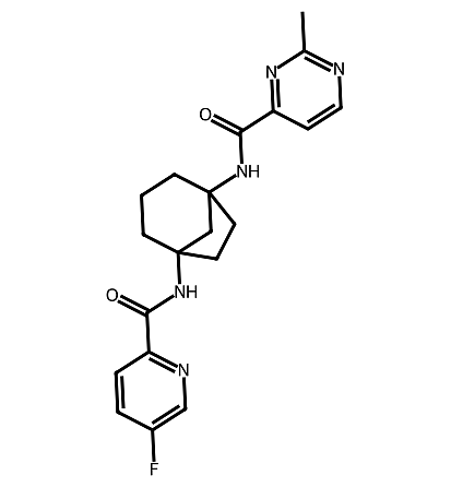 Cc1nccc(C(=O)NC23CCCC(NC(=O)c4ccc(F)cn4)(CC2)C3)n1